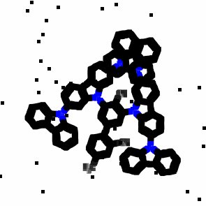 N#Cc1cc(C(F)(F)F)ccc1-c1cc(-n2c3cc(-n4c5ccccc5c5ccccc54)ccc3c3ccc(-n4c5ccccc5c5ccccc54)cc32)c(C#N)c(-n2c3cc(-n4c5ccccc5c5ccccc54)ccc3c3ccc(-n4c5ccccc5c5ccccc54)cc32)c1